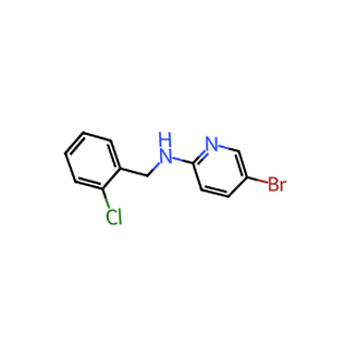 Clc1ccccc1CNc1ccc(Br)cn1